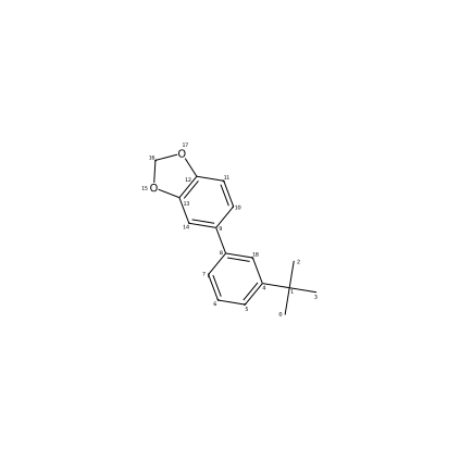 CC(C)(C)c1cc[c]c(-c2ccc3c(c2)OCO3)c1